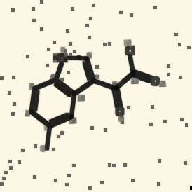 Cc1ccc2[nH]cc(C(=O)C(=O)Cl)c2c1